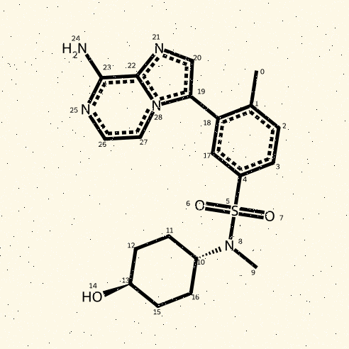 Cc1ccc(S(=O)(=O)N(C)[C@H]2CC[C@H](O)CC2)cc1-c1cnc2c(N)nccn12